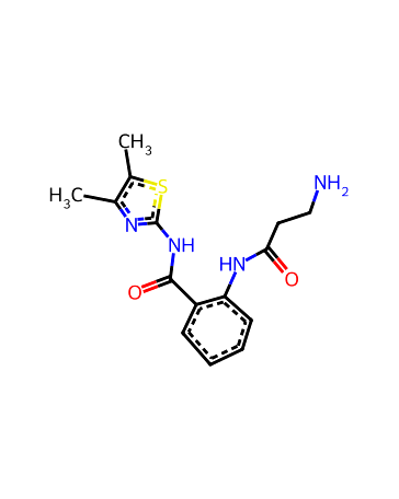 Cc1nc(NC(=O)c2ccccc2NC(=O)CCN)sc1C